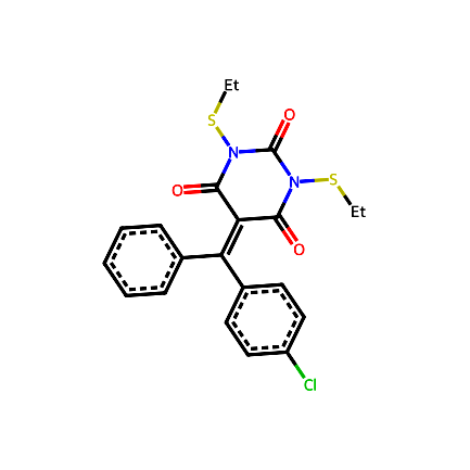 CCSN1C(=O)C(=C(c2ccccc2)c2ccc(Cl)cc2)C(=O)N(SCC)C1=O